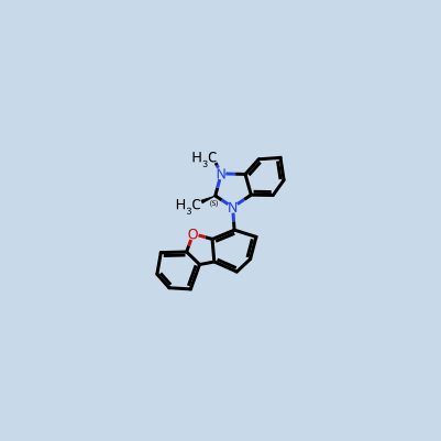 C[C@H]1N(C)c2ccccc2N1c1cccc2c1oc1ccccc12